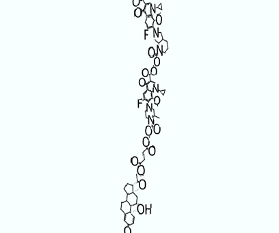 COc1c(N2CC3CCCN(C(=O)OCOC(=O)c4cn(C5CC5)c5c(OC)c(N6CCN(C(=O)OCOC(=O)CCC(=O)OCC(=O)[C@H]7CCC8C9CCC%10=CC(=O)C=C[C@]%10(C)C9[C@@H](O)C[C@@]87C)C(C)C6)c(F)cc5c4=O)C3C2)c(F)cc2c(=O)c(C(=O)O)cn(C3CC3)c12